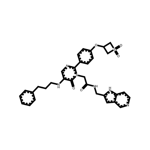 O=C(Cn1c(-c2ccc(OC3CS(=O)(=O)C3)cc2)ncc(NCCCc2ccccc2)c1=O)NCc1cc2cnccc2[nH]1